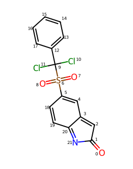 O=C1C=c2cc(S(=O)(=O)C(Cl)(Cl)c3ccccc3)ccc2=N1